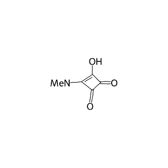 CNc1c(O)c(=O)c1=O